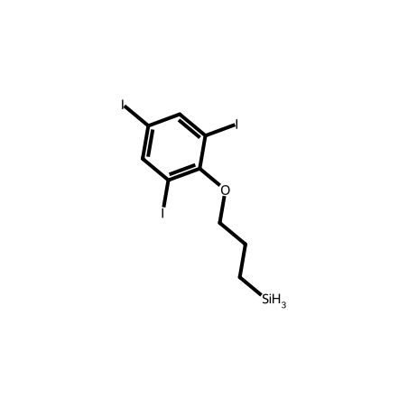 [SiH3]CCCOc1c(I)cc(I)cc1I